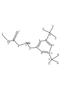 COC(=O)CNCc1cc(C(C)(C)C)cc(C(C)(C)C)c1